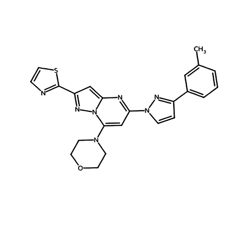 Cc1cccc(-c2ccn(-c3cc(N4CCOCC4)n4nc(-c5nccs5)cc4n3)n2)c1